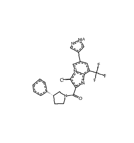 O=C(c1nc2c(C(F)(F)F)cc(-c3cn[nH]c3)cn2c1Cl)N1CC[C@H](c2ccccc2)C1